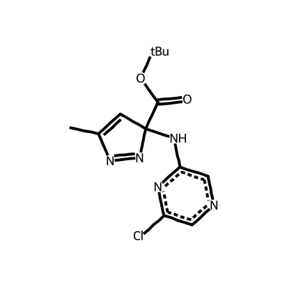 CC1=CC(Nc2cncc(Cl)n2)(C(=O)OC(C)(C)C)N=N1